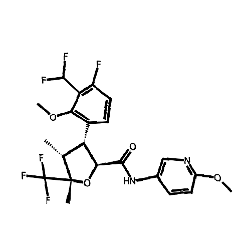 COc1ccc(NC(=O)[C@H]2O[C@](C)(C(F)(F)F)[C@H](C)[C@@H]2c2ccc(F)c(C(F)F)c2OC)cn1